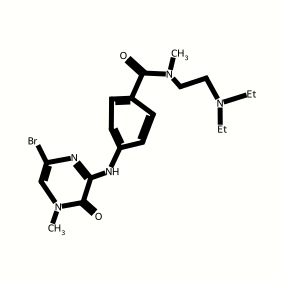 CCN(CC)CCN(C)C(=O)c1ccc(Nc2nc(Br)cn(C)c2=O)cc1